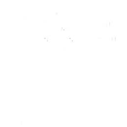 CCCCOCC1CCC(/C(=N/C(C(=O)OC)=C(/O)C=O)NC)(N(C)C(=O)OC(C)(C)C)CC1